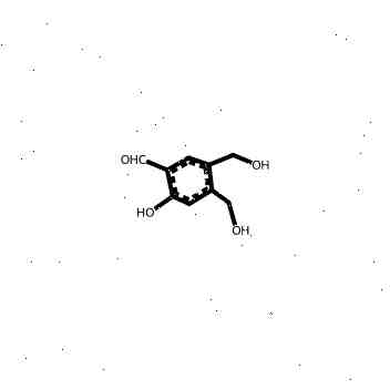 O=Cc1cc(CO)c(CO)cc1O